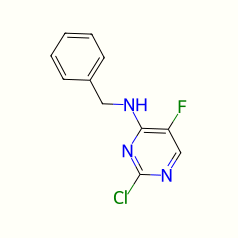 Fc1cnc(Cl)nc1NCc1ccccc1